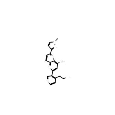 Cn1c[c]c(-c2ccc3nc(-c4cnccc4CCO)cc(N)c3n2)n1